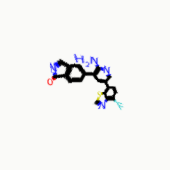 Nc1ncc(-c2ccc(F)c3ncsc23)cc1-c1ccc2c(c1)C=NC2=O